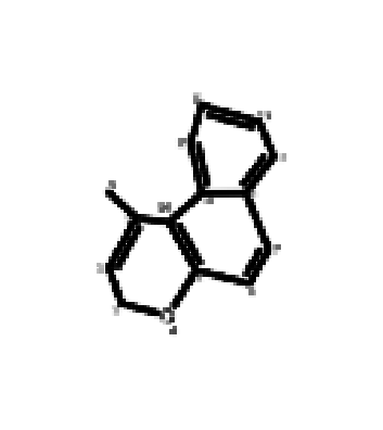 CC1=CCOc2ccc3ccccc3c21